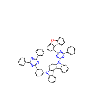 c1ccc(-c2nc(-c3ccccc3)nc(-c3cccc(-n4c5ccccc5c5c6c7ccccc7n(-c7nc(-c8ccccc8)nc(-c8cccc9oc%10ccccc%10c89)n7)c6ccc54)c3)n2)cc1